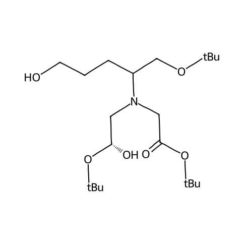 CC(C)(C)OCC(CCCO)N(CC(=O)OC(C)(C)C)C[C@H](O)OC(C)(C)C